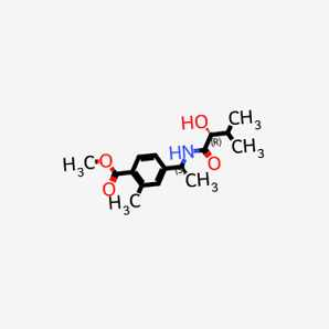 COC(=O)c1ccc([C@H](C)NC(=O)[C@H](O)C(C)C)cc1C